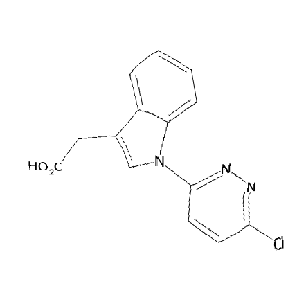 O=C(O)Cc1cn(-c2ccc(Cl)nn2)c2ccccc12